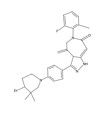 C=C1CN(c2c(C)cccc2F)C(=O)C=C2NN=C(c3ccc(N4CCC(CC)C(C)(C)C4)cc3)C12